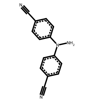 N#Cc1ccc(N(N)c2ccc(C#N)cc2)cc1